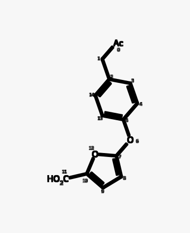 CC(=O)Cc1ccc(Oc2ccc(C(=O)O)o2)cc1